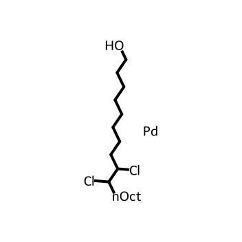 CCCCCCCCC(Cl)C(Cl)CCCCCCCCO.[Pd]